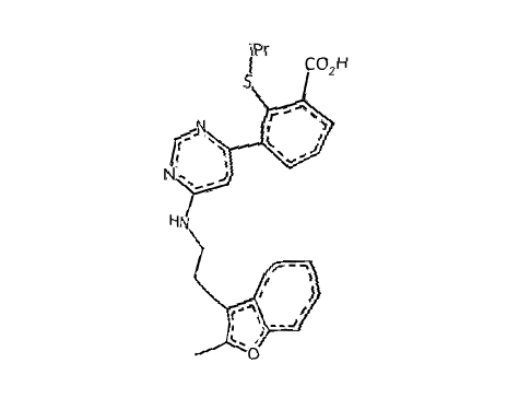 Cc1oc2ccccc2c1CCNc1cc(-c2cccc(C(=O)O)c2SC(C)C)ncn1